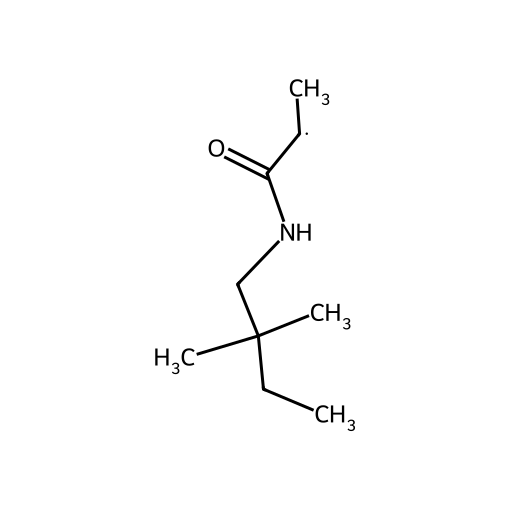 C[CH]C(=O)NCC(C)(C)CC